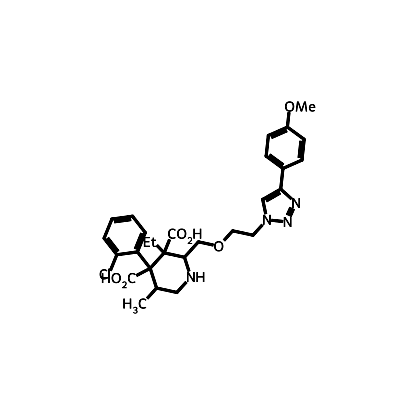 CCC1(C(=O)O)C(COCCn2cc(-c3ccc(OC)cc3)nn2)NCC(C)C1(C(=O)O)c1ccccc1Cl